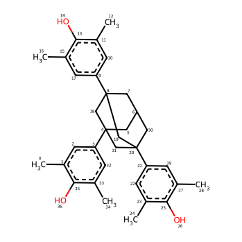 Cc1cc(C23CC4CC(c5cc(C)c(O)c(C)c5)(C2)CC(c2cc(C)c(O)c(C)c2)(C4)C3)cc(C)c1O